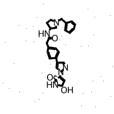 O=C(Cc1ccc(-c2cnn(C3=CC(O)N[S+]3[O-])c2)cc1)NC1CCN(Cc2ccccc2)C1